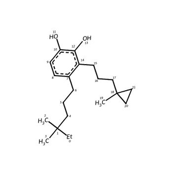 CCC(C)(C)CCCc1ccc(O)c(O)c1CCCC1(C)CC1